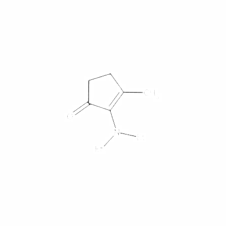 CCN(CC)C1=C(C)CCC1=O